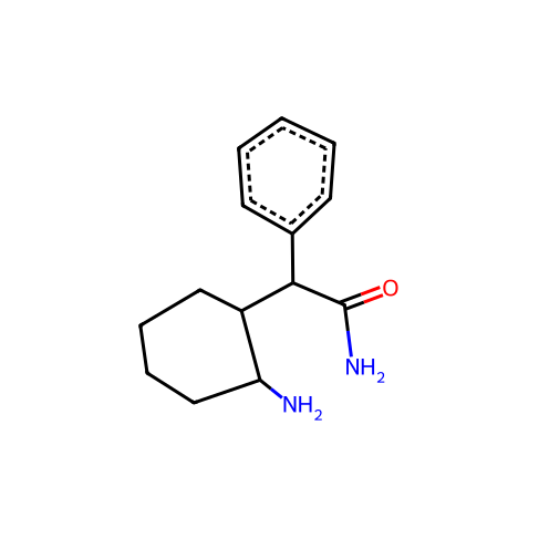 NC(=O)C(c1ccccc1)C1CCCCC1N